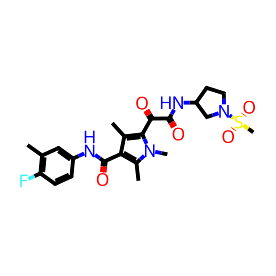 Cc1cc(NC(=O)c2c(C)c(C(=O)C(=O)NC3CCN(S(C)(=O)=O)C3)n(C)c2C)ccc1F